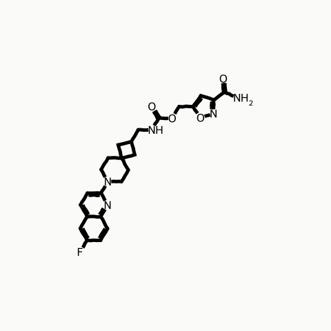 NC(=O)c1cc(COC(=O)NCC2CC3(CCN(c4ccc5cc(F)ccc5n4)CC3)C2)on1